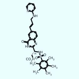 Cc1c(C)c(C)c(S(=O)(=O)N[C@H](CC(=O)O)c2nc3ccc(C=CCNc4ccccn4)cc3c(=O)[nH]2)c(C)c1C